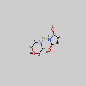 O=C1C=CC(=O)N1SN1CCOCC1